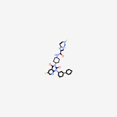 O=C(NC1CCC(n2c(=O)c3cc(F)cnc3n(-c3cccc(-c4ccccc4)c3)c2=O)CC1)C1=C[N+]2CN(F)C=CC2=N1